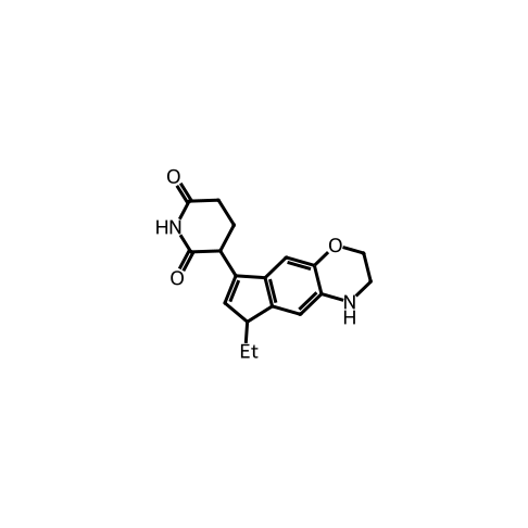 CCC1C=C(C2CCC(=O)NC2=O)c2cc3c(cc21)NCCO3